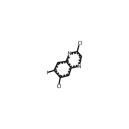 Clc1cnc2cc(Cl)c(I)cc2n1